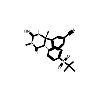 CN1C(=N)N[C@](C)(c2cccc(C#N)c2)[C@H](c2ccc(S(=O)(=O)C(C)(C)C)cc2)C1=O